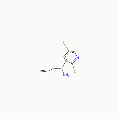 C=CCC(N)c1cc(F)cnc1Cl